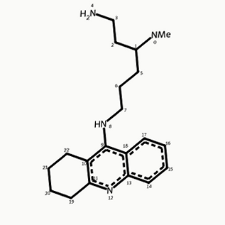 CNC(CCN)CCCNc1c2c(nc3ccccc13)CCCC2